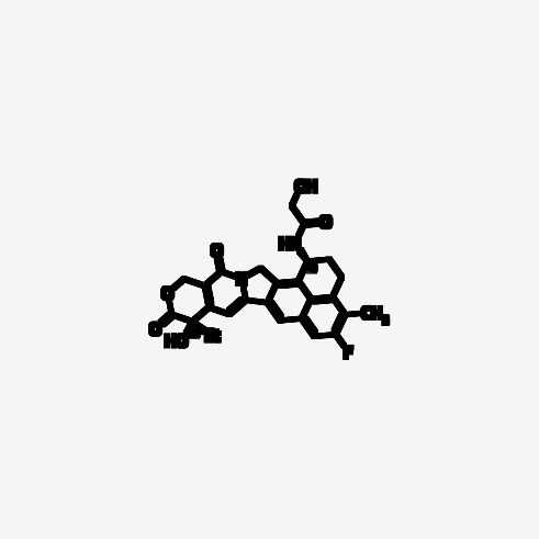 CC[C@@]1(O)C(=O)OCc2c1cc1n(c2=O)Cc2c-1cc1cc(F)c(C)c3c1c2[C@@H](NC(=O)CO)CC3